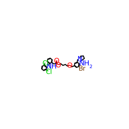 Nc1c(Br)cc(COCCCCOC(=O)Cc2ccccc2Nc2c(Cl)cccc2Cl)cc1CN1CCCC1